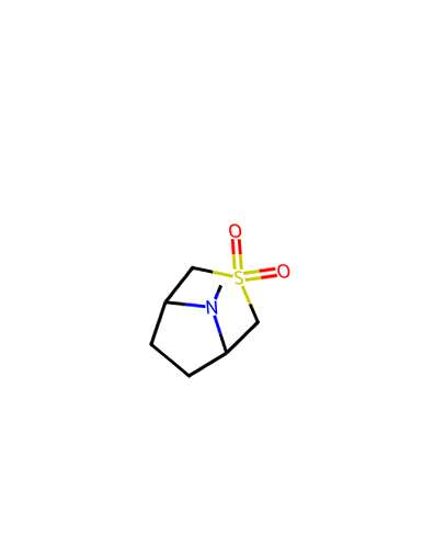 CN1C2CCC1CS(=O)(=O)C2